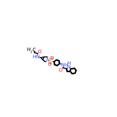 C=CC(=O)NC1C2CN(S(=O)(=O)c3ccc(NC(=O)c4cc5ccccc5[nH]4)cc3)CC21